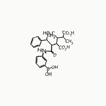 CC(C(=O)O)C(C(=O)O)C(C(=O)O)C(C(=O)Nc1cccc(B(O)O)c1)C(C)c1ccccc1